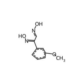 COc1cccc(C(C=NO)=NO)c1